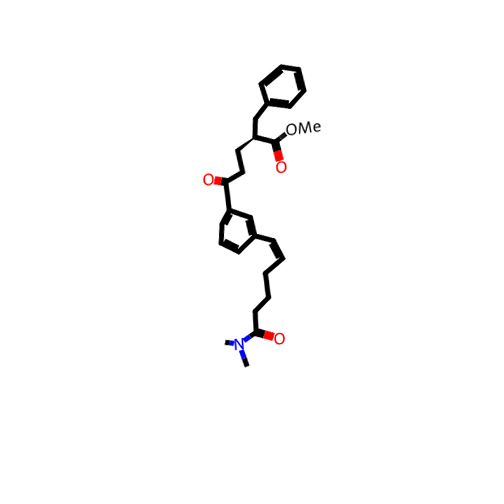 COC(=O)[C@@H](CCC(=O)c1cccc(/C=C\CCCC(=O)N(C)C)c1)Cc1ccccc1